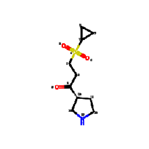 O=C(CCS(=O)(=O)C1CC1)[C@@H]1CCNC1